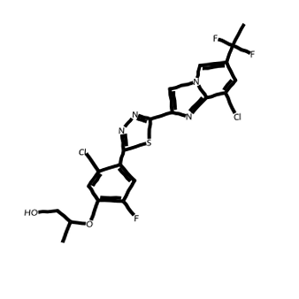 CC(CO)Oc1cc(Cl)c(-c2nnc(-c3cn4cc(C(C)(F)F)cc(Cl)c4n3)s2)cc1F